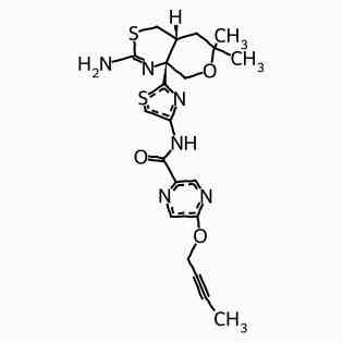 CC#CCOc1cnc(C(=O)Nc2csc([C@]34COC(C)(C)C[C@H]3CSC(N)=N4)n2)cn1